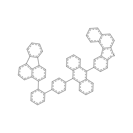 c1ccc(-c2ccc3c4c(cccc24)-c2ccccc2-3)c(-c2ccc(-c3c4ccccc4c(-c4ccc5sc6ccc7ccccc7c6c5c4)c4ccccc34)cc2)c1